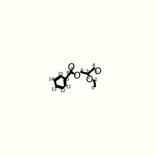 CCOC(C=O)COC(=O)c1ccccc1